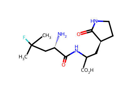 CC(C)(F)C[C@H](N)C(=O)NC(C[C@@H]1CCNC1=O)C(=O)O